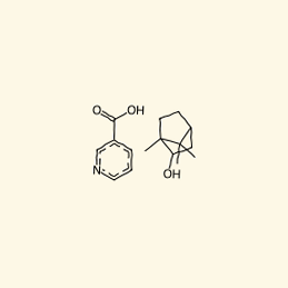 CC1(C)C2CCC1(C)C(O)C2.O=C(O)c1cccnc1